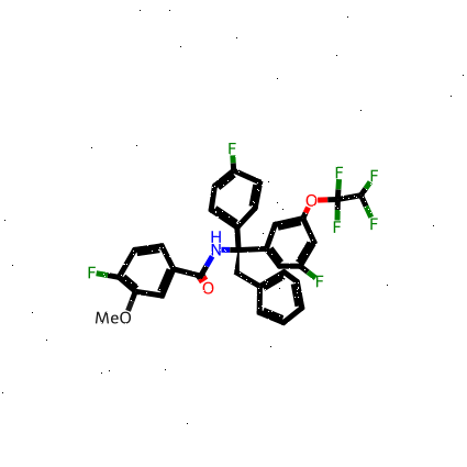 COc1cc(C(=O)N[C@](Cc2ccccc2)(c2ccc(F)cc2)c2cc(F)cc(OC(F)(F)C(F)F)c2)ccc1F